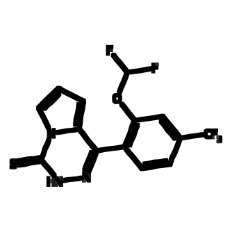 FC(F)Oc1cc(C(F)(F)F)ccc1-c1n[nH]c(=S)n2cccc12